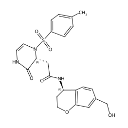 Cc1ccc(S(=O)(=O)N2C=CNC(=O)[C@H]2CC(=O)N[C@@H]2CCOc3cc(CO)ccc32)cc1